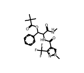 CNC(=O)C(NC(=O)c1cn(C)nc1C(F)(F)F)C(OC(=O)C(C)(C)C)c1ccccc1